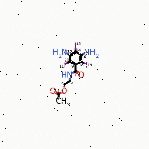 CC(=O)OCCNC(=O)c1c(I)c(N)c(I)c(N)c1I